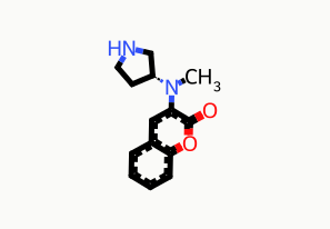 CN(c1cc2ccccc2oc1=O)[C@@H]1CCNC1